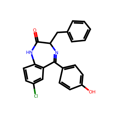 O=C1Nc2ccc(Cl)cc2C(c2ccc(O)cc2)=NC1Cc1ccccc1